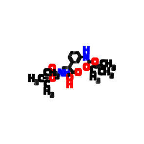 CC(C)(C)OC(=O)NCC(C(=O)O)c1cccc(NC(=O)OC(C)(C)C)c1